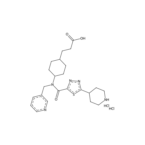 Cl.Cl.O=C(O)CCC1CCC(N(Cc2cccnc2)C(=O)c2nnc(C3CCNCC3)s2)CC1